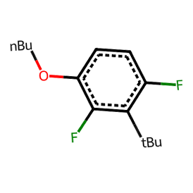 CCCCOc1ccc(F)c(C(C)(C)C)c1F